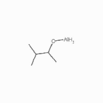 CC(C)C(C)[O][AlH2]